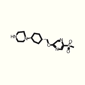 CS(=O)(=O)c1cnc(OC[C@H]2CC[C@H](N3CCNCC3)CC2)cn1